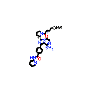 COC/C=C/C(=O)N1CCC[C@H]1c1nc(-c2ccc(C(=O)Nc3ccccn3)cc2)c2c(N)nccn12